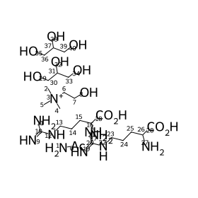 CC(N)=O.C[N+](C)(C)CCO.N=C(N)NCCCC(N)C(=O)O.N=C(N)NCCCC(N)C(=O)O.OCC(O)CO.OCC(O)CO